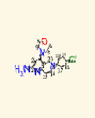 Nc1cc(N2CCOCC2)c2c(n1)C=CN(c1ccc(Cl)cc1)C2